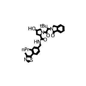 CCCc1cc(CNC(=O)C2CC(O)CN2C(=O)C(N2Cc3ccccc3C2=O)C(C)(C)C)ccc1-c1scnc1C